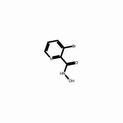 O=C(NO)c1ncccc1Br